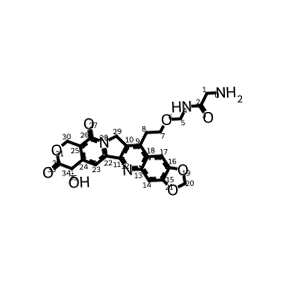 NCC(=O)NCOCCc1c2c(nc3cc4c(cc13)OCO4)-c1cc3c(c(=O)n1C2)COC(=O)[C@H]3O